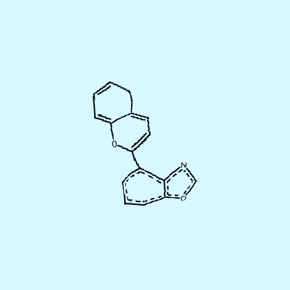 [c]1nc2c(C3=CC=C4CC=CC=C4O3)cccc2o1